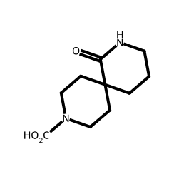 O=C(O)N1CCC2(CCCNC2=O)CC1